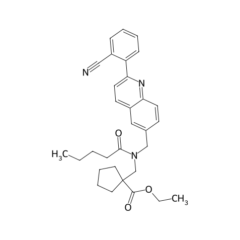 CCCCC(=O)N(Cc1ccc2nc(-c3ccccc3C#N)ccc2c1)CC1(C(=O)OCC)CCCC1